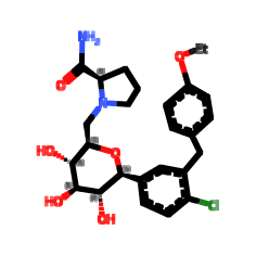 CCOc1ccc(Cc2cc([C@@H]3O[C@H](CN4CCC[C@@H]4C(N)=O)[C@@H](O)[C@H](O)[C@H]3O)ccc2Cl)cc1